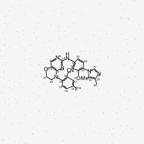 COc1cc(Nc2ncc3c(n2)N(c2ccc(F)cc2C#N)CCO3)ccc1-n1cnc(C)c1